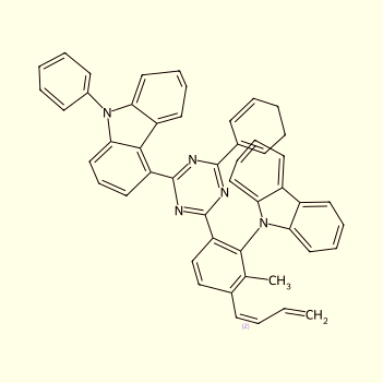 C=C/C=C\c1ccc(-c2nc(C3=CCCC=C3)nc(-c3cccc4c3c3ccccc3n4-c3ccccc3)n2)c(-n2c3ccccc3c3ccccc32)c1C